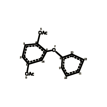 CC(=O)Oc1ccc(OC(C)=O)c(Oc2ccccc2)c1